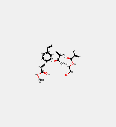 C=C(C)C(=O)OC.C=C(C)C(=O)OCCO.C=CC(=O)OCCCC.C=Cc1ccccc1